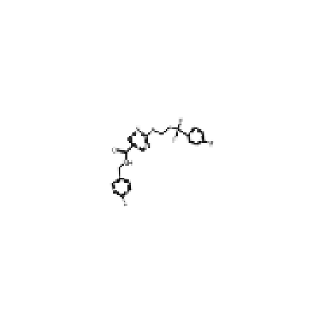 O=C(NCc1ccc(F)cc1)c1cnc(SCCC(F)(F)c2ccc(F)cc2)nc1